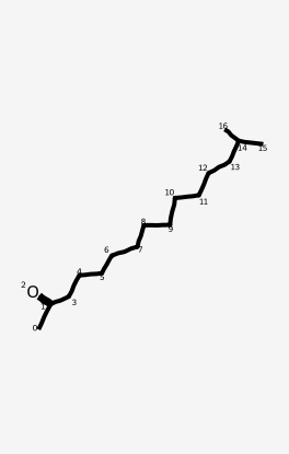 CC(=O)CCCCCCCCCCCC(C)C